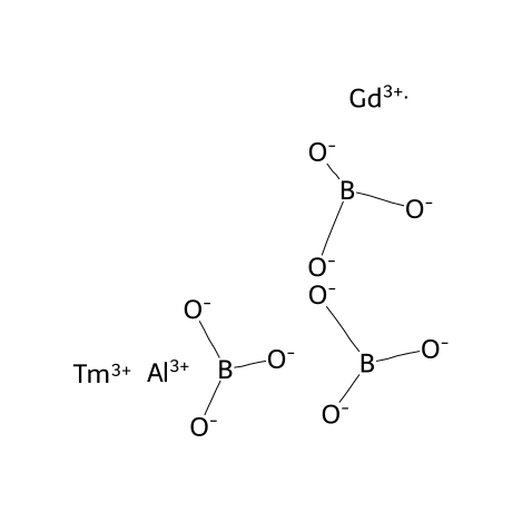 [Al+3].[Gd+3].[O-]B([O-])[O-].[O-]B([O-])[O-].[O-]B([O-])[O-].[Tm+3]